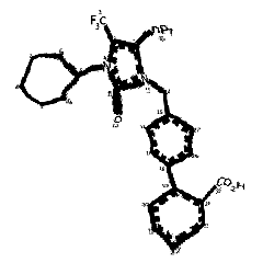 CCCc1c(C(F)(F)F)n(C2CCCCC2)c(=O)n1Cc1ccc(-c2ccccc2C(=O)O)cc1